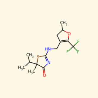 CC1CC(CNC2=NC(=O)C(C)(C(C)C)S2)=C(C(F)(F)F)O1